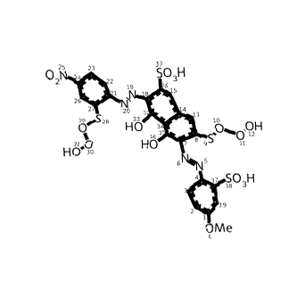 COc1ccc(/N=N/c2c(SOOO)cc3cc(S(=O)(=O)O)c(/N=N/c4ccc([N+](=O)[O-])cc4SOOO)c(O)c3c2O)c(S(=O)(=O)O)c1